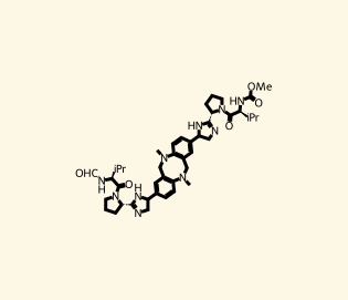 COC(=O)N[C@H](C(=O)N1CCC[C@H]1C1=NCC(c2ccc3c(c2)CN(C)c2ccc(C4CN=C([C@@H]5CCCN5C(=O)[C@@H](NC=O)C(C)C)N4)cc2CN3C)N1)C(C)C